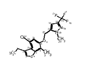 CCc1csc2c(C)c(OCc3cc(C(F)(F)F)nn3C)cc(Cl)c12